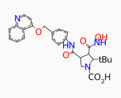 CC(C)(C)C1C(C(=O)NO)C(C(=O)Nc2ccc(COc3ccnc4ccccc34)cc2)CN1C(=O)O